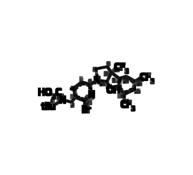 CC(C)(C)N(Cc1ccc(N2CCC(c3cc(C(F)(F)F)cc(C(F)(F)F)c3)(C(F)(F)F)C2O)nc1Br)C(=O)O